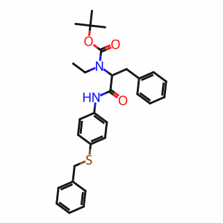 CCN(C(=O)OC(C)(C)C)C(Cc1ccccc1)C(=O)Nc1ccc(SCc2ccccc2)cc1